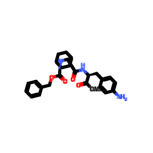 COC(=O)[C@H](Cc1ccc(N)cc1)NC(=O)C1C2CCC(CC2)N1C(=O)OCc1ccccc1